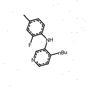 CCCCc1ccncc1Nc1ccc(C)cc1F